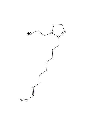 CCCCCCCC/C=C/CCCCCCCC1=NCCN1CCO